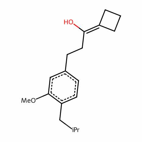 COc1cc(CCC(O)=C2CCC2)ccc1CC(C)C